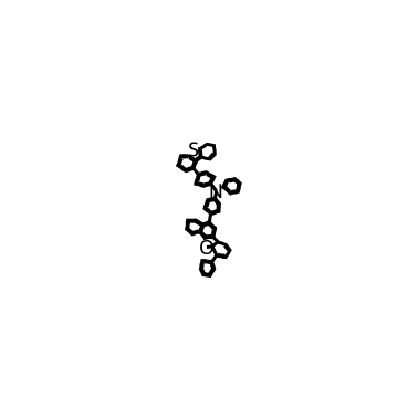 C1=CC2c3cc(-c4ccc(N(c5ccccc5)c5ccc(-c6cccc7sc8c(c67)C=CCC8)cc5)cc4)c4ccccc4c3OC2C(c2ccccc2)=C1